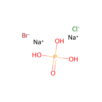 O=P(O)(O)O.[Br-].[Cl-].[Na+].[Na+]